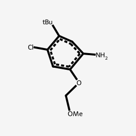 COCOc1cc(Cl)c(C(C)(C)C)cc1N